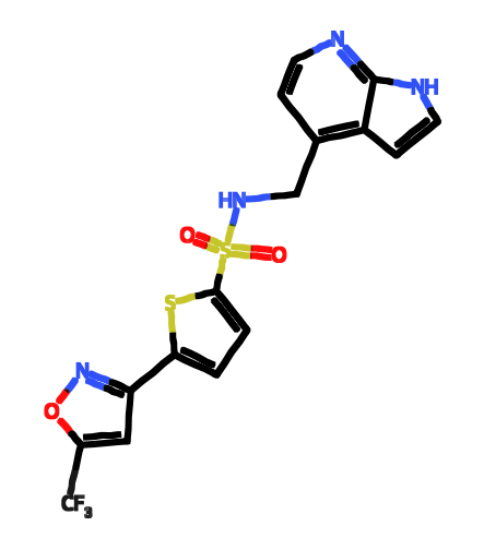 O=S(=O)(NCc1ccnc2[nH]ccc12)c1ccc(-c2cc(C(F)(F)F)on2)s1